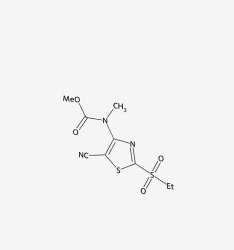 CCS(=O)(=O)c1nc(N(C)C(=O)OC)c(C#N)s1